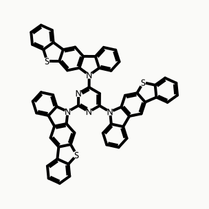 c1ccc2c(c1)sc1cc3c(cc12)c1ccccc1n3-c1cc(-n2c3ccccc3c3cc4c(cc32)sc2ccccc24)nc(-n2c3ccccc3c3cc4c(cc32)sc2ccccc24)n1